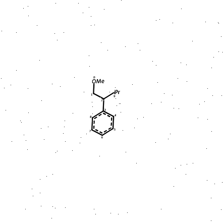 COCC(c1ccccc1)C(C)C